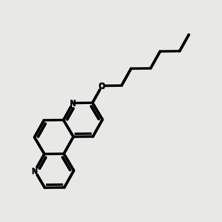 CCCCCCOc1ccc2c(ccc3ncccc32)n1